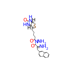 N[C@@H](Cc1ccc2ccccc2c1)C(=O)N(N)C(=O)CCCC[C@@H]1SC[C@@H]2NC(=O)N[C@@H]21